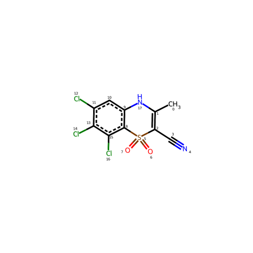 CC1=C(C#N)S(=O)(=O)c2c(cc(Cl)c(Cl)c2Cl)N1